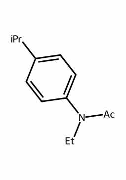 CCN(C(C)=O)c1ccc(C(C)C)cc1